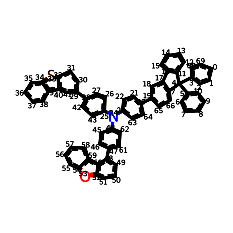 c1ccc(C2(c3ccccc3)c3ccccc3-c3cc(-c4ccc(N(c5ccc(-c6ccc7sc8ccccc8c7c6)cc5)c5ccc(-c6cccc7oc8ccccc8c67)cc5)cc4)ccc32)cc1